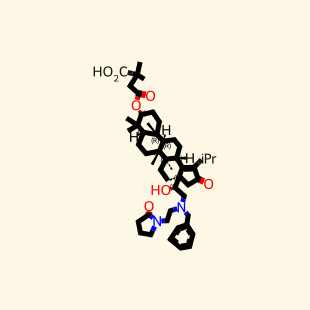 CC(C)C1=C2[C@H]3CC[C@@H]4[C@@]5(C)CC[C@H](OC(=O)CC(C)(C)C(=O)O)C(C)(C)[C@@H]5CC[C@@]4(C)[C@]3(C)CC[C@@]2([C@H](O)CN(CCN2CCCC2=O)Cc2ccccc2)CC1=O